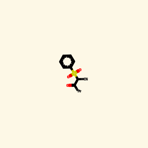 CC(C)C(=O)C(C#N)S(=O)(=O)c1ccccc1